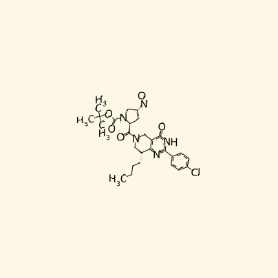 CCCC[C@@H]1CN(C(=O)[C@@H]2C[C@@H](N=O)CN2C(=O)OC(C)(C)C)Cc2c1nc(-c1ccc(Cl)cc1)[nH]c2=O